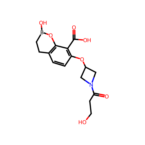 O=C(O)c1c(OC2CN(C(=O)CCO)C2)ccc2c1OB(O)CC2